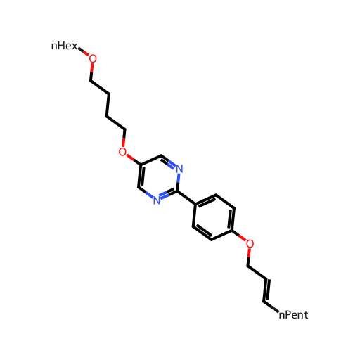 CCCCCC=CCOc1ccc(-c2ncc(OCCCCOCCCCCC)cn2)cc1